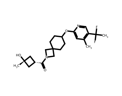 Cc1cc(OC2CCC3(CC2)CN(C(=O)[C@H]2C[C@@](C)(O)C2)C3)ncc1C(C)(F)F